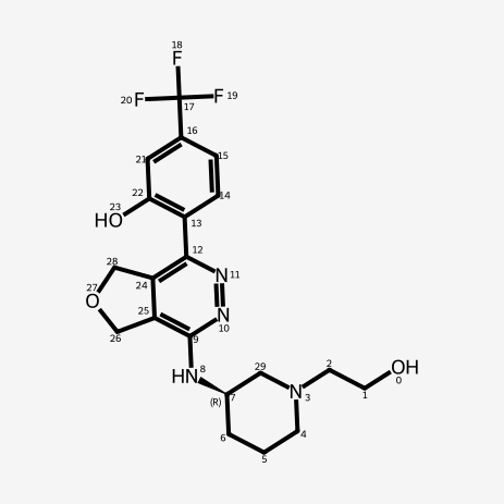 OCCN1CCC[C@@H](Nc2nnc(-c3ccc(C(F)(F)F)cc3O)c3c2COC3)C1